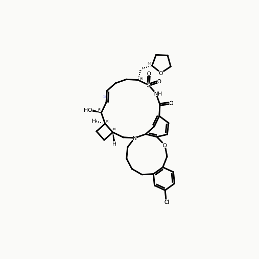 O=C1NS(=O)(=O)[C@@H](C[C@@H]2CCCO2)CC/C=C/[C@H](O)[C@@H]2CC[C@H]2CN2CCCCc3cc(Cl)ccc3COc3ccc1cc32